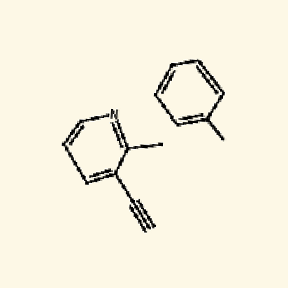 C#Cc1cccnc1C.Cc1ccccc1